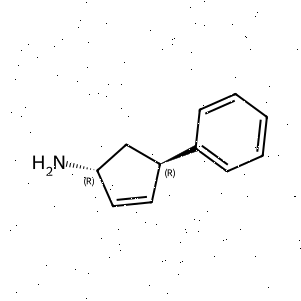 N[C@H]1C=C[C@H](c2ccccc2)C1